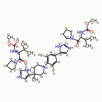 COC(=O)N[C@H](C(=O)N1CCC[C@H]1c1ncc(-c2cc(F)c(N3CCC(C)(c4cnc([C@@H]5CCCN5C(=O)[C@@H](NC(=O)OC)C(C)C)[nH]4)CC3)c(F)c2)[nH]1)C(C)C